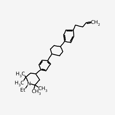 C=CCCc1ccc(C2CCC(c3ccc(C4CC(C)(C)N(CC)C(C)(C)C4)cc3)CC2)cc1